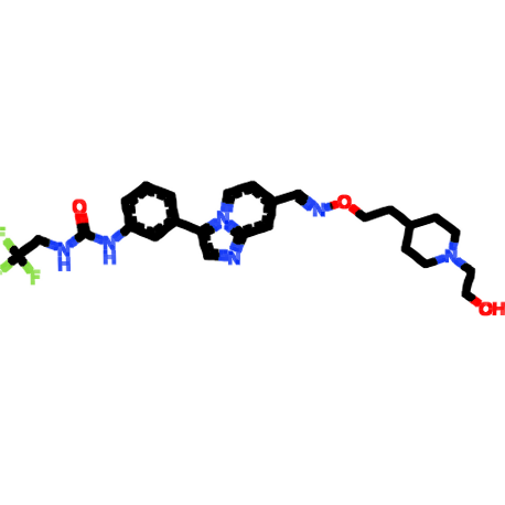 O=C(NCC(F)(F)F)Nc1cccc(-c2cnc3cc(C=NOCCC4CCN(CCO)CC4)ccn23)c1